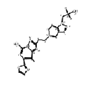 Cc1c(-c2ncco2)nc(N)n2nc(CCN3CCc4c(nnn4CC(C)(C)O)C3)nc12